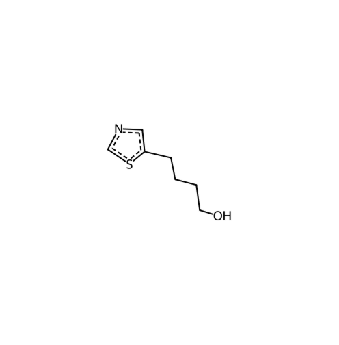 OCCCCc1cncs1